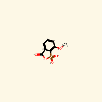 O=C1OS(=O)(=O)c2c(OC(F)(F)F)cccc21